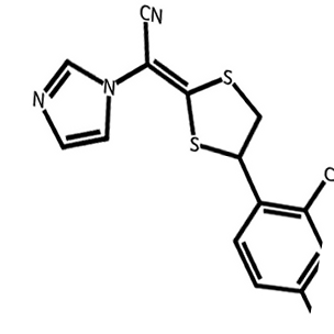 N#CC(=C1SCC(c2ccc(Br)cc2Cl)S1)n1ccnc1